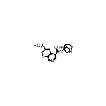 O=C(O)C1=Cc2c(cncc2C(=O)N[C@H]2CN3CCC2CC3)SC1